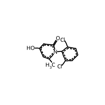 Cc1cc(O)cc(=O)n1-c1c(Cl)cccc1Cl